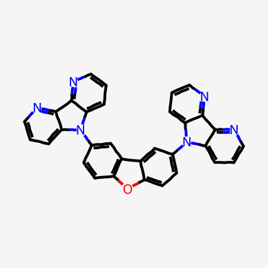 c1cnc2c3ncccc3n(-c3ccc4oc5ccc(-n6c7cccnc7c7ncccc76)cc5c4c3)c2c1